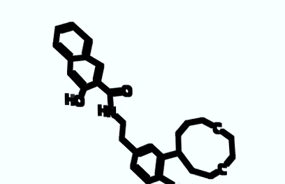 O=C(NCCc1ccc(O)c(C2CCCCCCCCC2)c1)c1cc2ccccc2cc1O